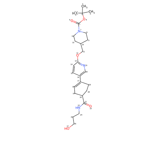 CC(C)(C)OC(=O)N1CCC(COc2ccc(C3=CCC(C(=O)NCCCO)CC3)cn2)CC1